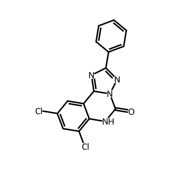 O=c1[nH]c2c(Cl)cc(Cl)cc2c2nc(-c3ccccc3)nn12